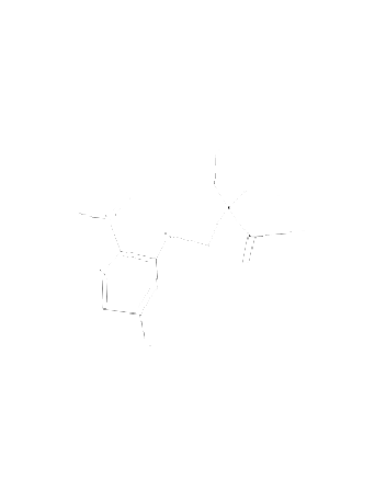 CC(CO)(CNc1cc(Br)cnc1[N+](=O)[O-])C(=O)O